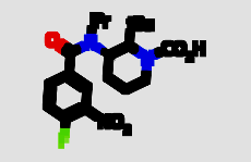 CC(C)N(C(=O)c1ccc(F)c([N+](=O)[O-])c1)[C@@H]1CCCN(C(=O)O)C1C(C)(C)C